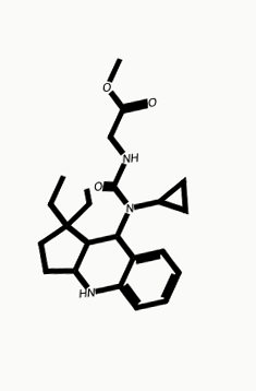 CCC1(CC)CCC2Nc3ccccc3C(N(C(=O)NCC(=O)OC)C3CC3)C21